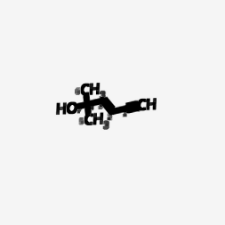 C#C/C=C/C(C)(C)O